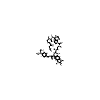 C[C@@H]1CCN(C(=O)CC#N)C[C@@H]1N(C)c1ncnc2c1ccn2C(=O)N(C)CCN(C)C(=O)Nc1cc2c(cc1NC(=O)OCc1ccc(B(O)O)cc1)n(C)c(=O)n2C